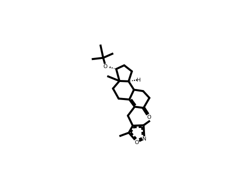 Cc1noc(C)c1CC1=C2CCC3(C)[C@H](OC(C)(C)C)CC[C@H]3C2CCC1=O